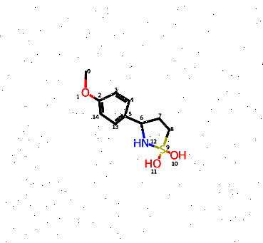 COc1ccc(C2CCS(O)(O)N2)cc1